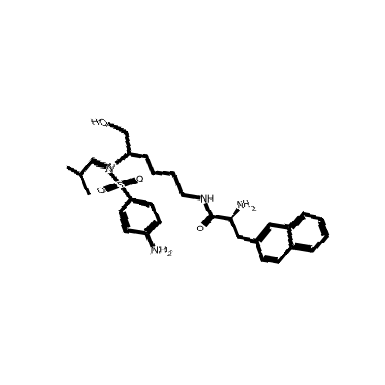 CC(C)CN(C(CO)CCCCNC(=O)[C@@H](N)Cc1ccc2ccccc2c1)S(=O)(=O)c1ccc(N)cc1